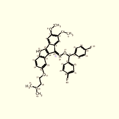 COc1cc2c(cc1OC)-c1[nH]c3ccc(OCCN(C)C)cc3c1/C2=N/OC(c1ccc(F)cc1)c1ccc(F)cc1